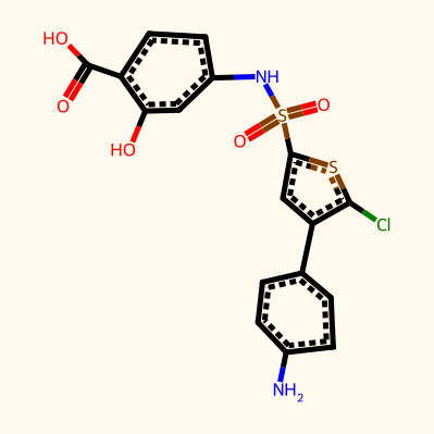 Nc1ccc(-c2cc(S(=O)(=O)Nc3ccc(C(=O)O)c(O)c3)sc2Cl)cc1